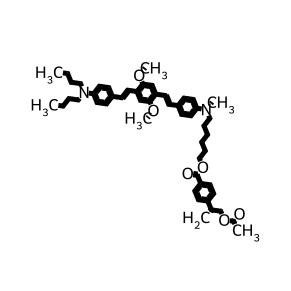 C=C(COC(C)=O)c1ccc(C(=O)OCCCCCCN(C)c2ccc(/C=C/c3cc(OC)c(/C=C/c4ccc(N(CCCC)CCCC)cc4)cc3OC)cc2)cc1